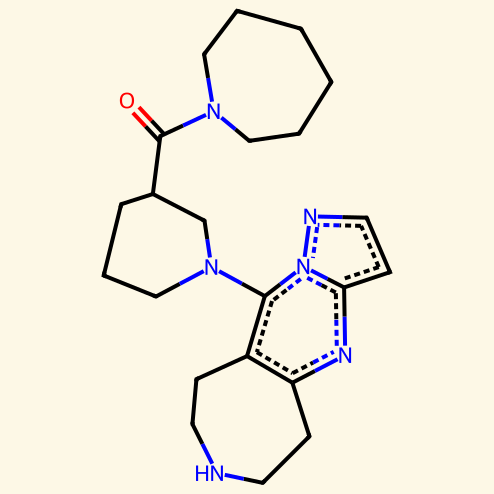 O=C(C1CCCN(c2c3c(nc4ccnn24)CCNCC3)C1)N1CCCCCC1